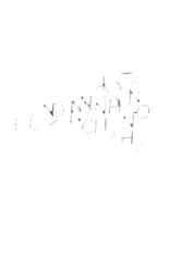 Cc1cc(Cn2nnc(NC(=O)c3cc(C(N)=O)nc4cccc(F)c34)c2C)on1